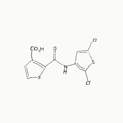 O=C(O)c1ccsc1C(=O)Nc1cc(Cl)sc1Cl